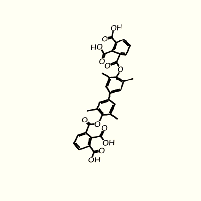 Cc1cc(-c2cc(C)c(OC(=O)c3cccc(C(=O)O)c3C(=O)O)c(C)c2)cc(C)c1OC(=O)c1cccc(C(=O)O)c1C(=O)O